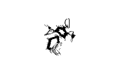 COc1cc([C@H]2CCCNC2)c(OC)cc1Cl